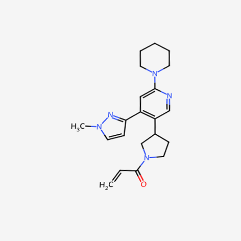 C=CC(=O)N1CCC(c2cnc(N3CCCCC3)cc2-c2ccn(C)n2)C1